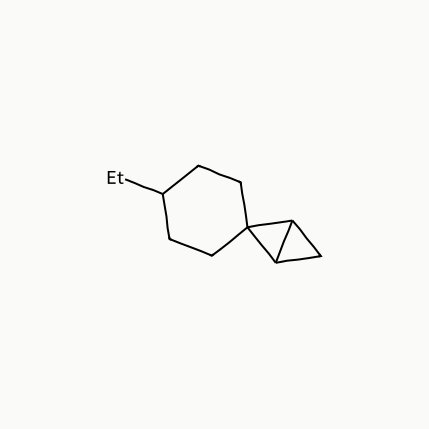 CCC1CCC2(CC1)C1CC12